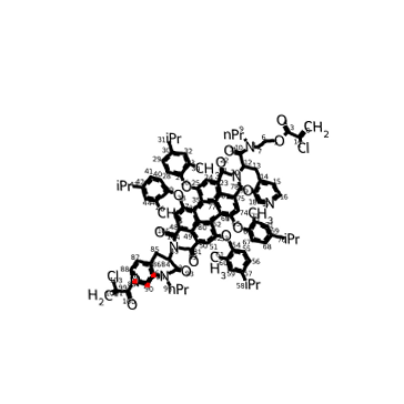 C=C(Cl)C(=O)OCCN(CCC)C(=O)C(Cc1ccncc1)N1C(=O)c2cc(Oc3ccc(C(C)C)cc3C)c3c4c(Oc5ccc(C(C)C)cc5C)cc5c6c(cc(Oc7ccc(C(C)C)cc7C)c(c7c(Oc8ccc(C(C)C)cc8C)cc(c2c37)C1=O)c64)C(=O)N(C(Cc1ccncc1)C(=O)N(CCC)CCOC(=O)C(=C)Cl)C5=O